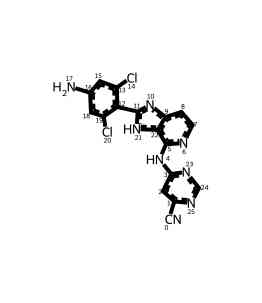 N#Cc1cc(Nc2nccc3nc(-c4c(Cl)cc(N)cc4Cl)[nH]c23)ncn1